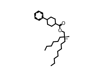 CCCCCCCC[C@](C)(CCCCCC)COC(=O)C1CCC(c2ccccc2)CC1